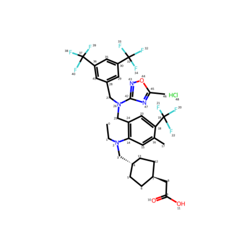 CCN(C[C@H]1CC[C@H](CC(=O)O)CC1)c1cc(C)c(C(F)(F)F)cc1CN(Cc1cc(C(F)(F)F)cc(C(F)(F)F)c1)c1noc(C)n1.Cl